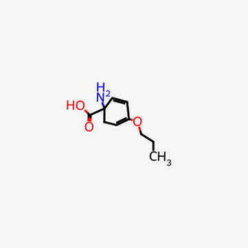 CCCOC1=CCC(N)(C(=O)O)C=C1